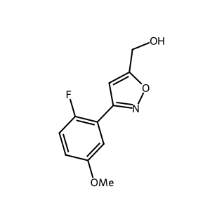 COc1ccc(F)c(-c2cc(CO)on2)c1